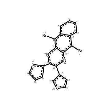 Brc1c2ccccc2c(Br)c2nc(-c3cccs3)c(-c3ccsc3)nc12